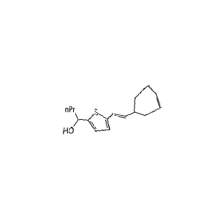 CCCC(O)c1ccc(/C=C/C2CCCCC2)s1